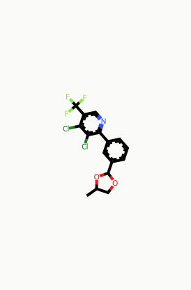 CC1COC(c2cccc(-c3ncc(C(F)(F)F)c(Cl)c3Cl)c2)O1